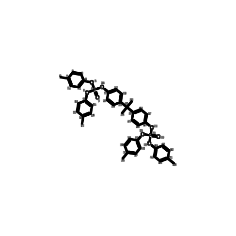 Cc1ccc(OP(=O)(Oc2ccc(C)cc2)Oc2ccc(C(C)(C)c3ccc(OP(=O)(Oc4ccc(C)cc4)Oc4ccc(C)cc4)cc3)cc2)cc1